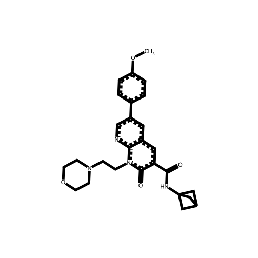 COc1ccc(-c2cnc3c(c2)cc(C(=O)NC24CC(C2)C4)c(=O)n3CCN2CCOCC2)cc1